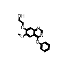 COc1cc2c(Oc3c[c]ccc3)ncnc2cc1OCCO